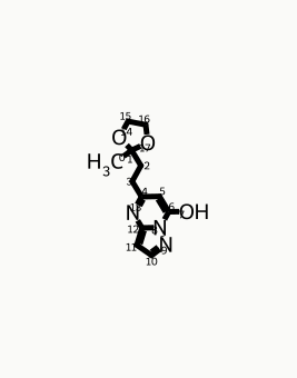 CC1(CCc2cc(O)n3nccc3n2)OCCO1